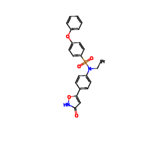 CC(C)CN(c1ccc(-c2cc(=O)[nH]o2)cc1)S(=O)(=O)c1ccc(Oc2ccccc2)cc1